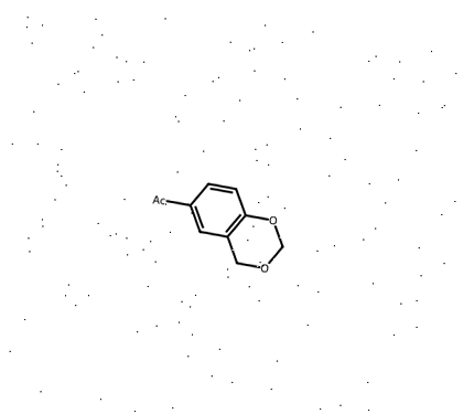 CC(=O)c1ccc2c(c1)COCO2